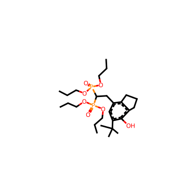 CCCOP(=O)(OCCC)C(Cc1cc(C(C)(C)C)c(O)c2c1CCC2)P(=O)(OCCC)OCCC